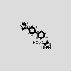 O=C(O)c1[nH]nnc1O[C@H]1CC[C@H](c2ccc(-n3cnnc3)cc2)CC1